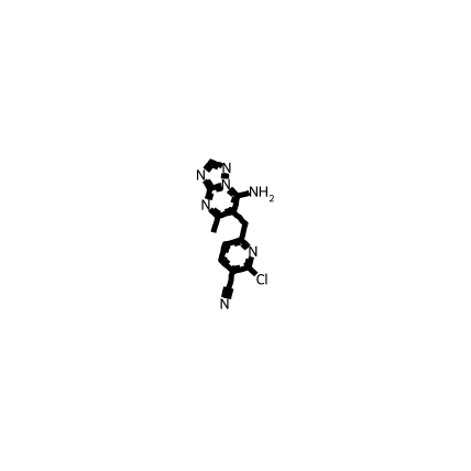 Cc1nc2ncnn2c(N)c1Cc1ccc(C#N)c(Cl)n1